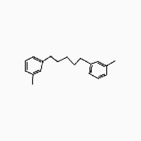 Cc1cccc(CCCCCc2cccc(C)c2)c1